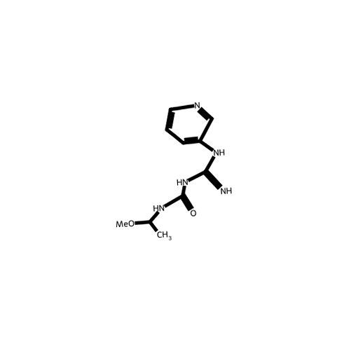 COC(C)NC(=O)NC(=N)Nc1cccnc1